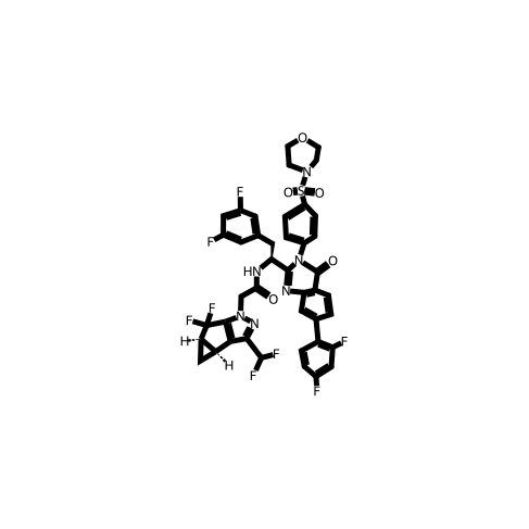 O=C(Cn1nc(C(F)F)c2c1C(F)(F)[C@@H]1C[C@H]21)N[C@@H](Cc1cc(F)cc(F)c1)c1nc2cc(-c3ccc(F)cc3F)ccc2c(=O)n1-c1ccc(S(=O)(=O)N2CCOCC2)cc1